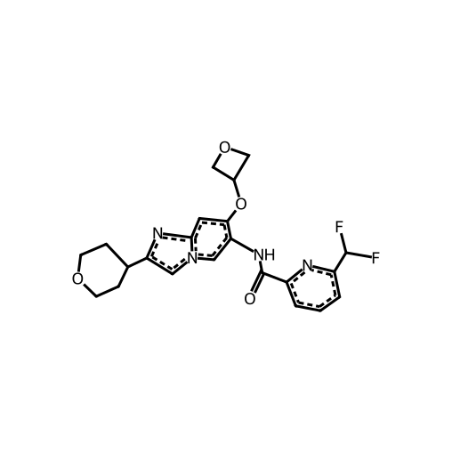 O=C(Nc1cn2cc(C3CCOCC3)nc2cc1OC1COC1)c1cccc(C(F)F)n1